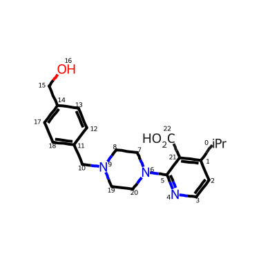 CC(C)c1ccnc(N2CCN(Cc3ccc(CO)cc3)CC2)c1C(=O)O